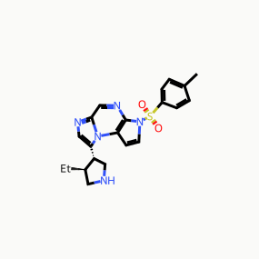 CC[C@@H]1CNC[C@H]1c1cnc2cnc3c(ccn3S(=O)(=O)c3ccc(C)cc3)n12